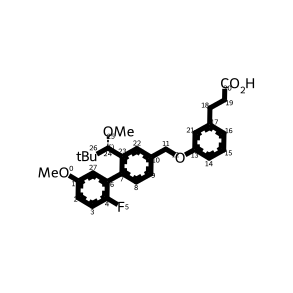 COc1ccc(F)c(-c2ccc(COc3cccc(CCC(=O)O)c3)cc2[C@@H](OC)C(C)(C)C)c1